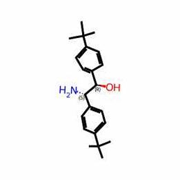 CC(C)(C)c1ccc([C@@H](O)[C@@H](N)c2ccc(C(C)(C)C)cc2)cc1